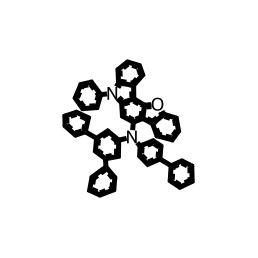 c1ccc(-c2ccc(N(c3cc(-c4ccccc4)cc(-c4ccccc4)c3)c3cc4c(c5ccccc5n4-c4ccccc4)c4oc5ccccc5c34)cc2)cc1